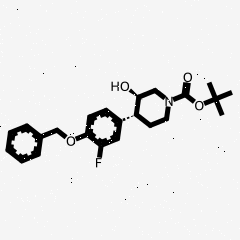 CC(C)(C)OC(=O)N1CC[C@H](c2ccc(OCc3ccccc3)c(F)c2)[C@@H](O)C1